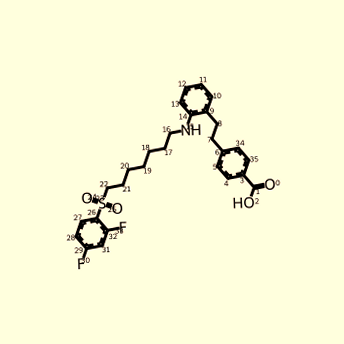 O=C(O)c1ccc(CCc2ccccc2NCCCCCCCS(=O)(=O)c2ccc(F)cc2F)cc1